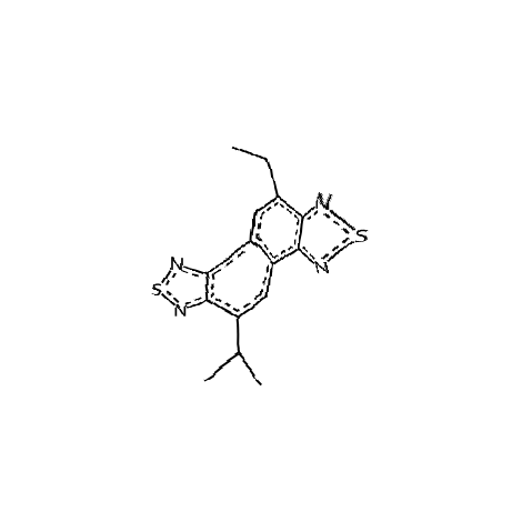 CCc1cc2c(cc(C(C)C)c3nsnc32)c2nsnc12